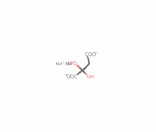 O=C([O-])CC(O)(O)C(=O)[O-].[Na+].[Na+]